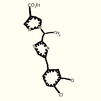 CCOC(=O)c1cnn(C(C)c2nc(-c3ccc(Cl)c(Cl)c3)cs2)c1